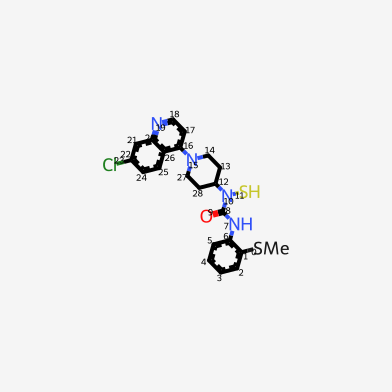 CSc1ccccc1NC(=O)N(S)C1CCN(c2ccnc3cc(Cl)ccc23)CC1